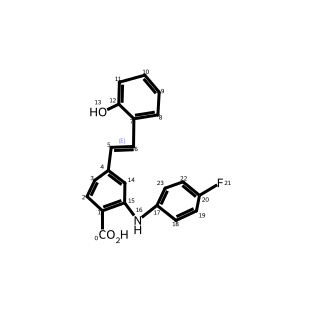 O=C(O)c1ccc(/C=C/c2ccccc2O)cc1Nc1ccc(F)cc1